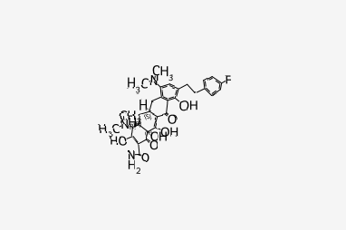 CN(C)c1cc(CCc2ccc(F)cc2)c(O)c2c1C[C@@H]1C[C@@H]3[C@@H](N(C)C)C(O)=C(C(N)=O)C(=O)[C@]3(O)C(O)=C1C2=O